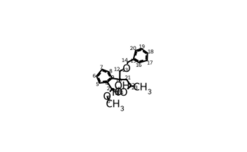 COC(=O)c1ccccc1C(O)(COCc1ccccc1)CC(C)O